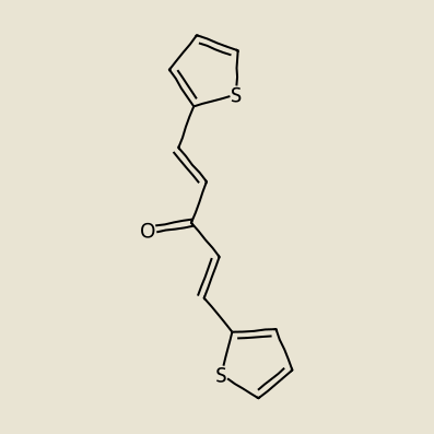 O=C(C=Cc1cccs1)C=Cc1cccs1